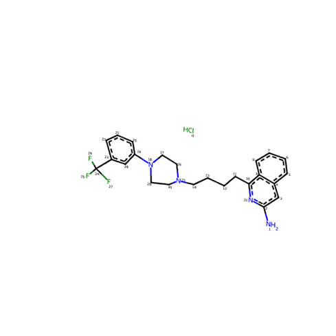 Cl.Nc1cc2ccccc2c(CCCCN2CCN(c3cccc(C(F)(F)F)c3)CC2)n1